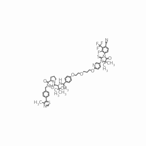 Cc1ncsc1-c1ccc(CNC(=O)C2CCCN2C(=O)[C@@H](NC(=O)c2ccc(OCCOCCCOc3ccc(N4C(=S)N(c5ccc(C#N)c(C(F)(F)F)c5F)C(=O)C4(C)C)cn3)cc2)C(C)(C)C)cc1